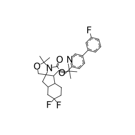 CC(C)(C)OC(=O)N1C(C)(C)OCC12CC1CC(F)(F)CCC1C2C=Cc1ccc(-c2cccc(F)c2)cn1